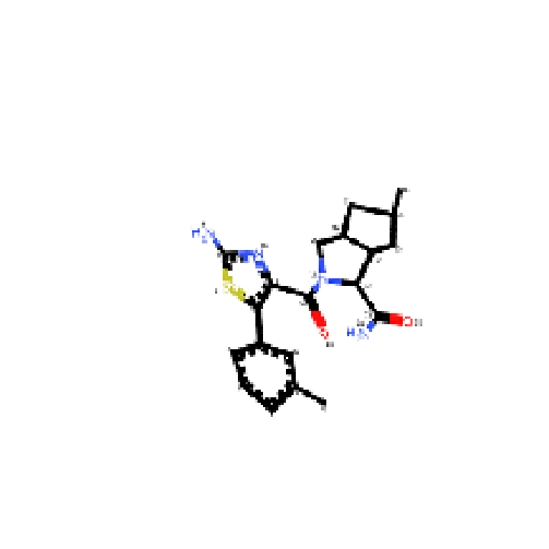 Cc1cccc(-c2sc(N)nc2C(=O)N2CC3CC(C)CC3C2C(N)=O)c1